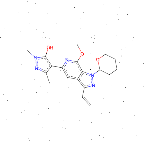 C=Cc1nn(C2CCCCO2)c2c(OC)nc(-c3c(C)nn(C)c3O)cc12